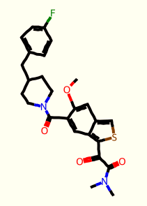 COc1cc2csc(C(=O)C(=O)N(C)C)c2cc1C(=O)N1CCC(Cc2ccc(F)cc2)CC1